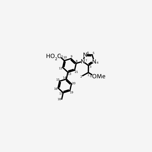 COC(C)c1ncnn1-c1cc(C(=O)O)cc(-c2ccc(C)cc2)c1